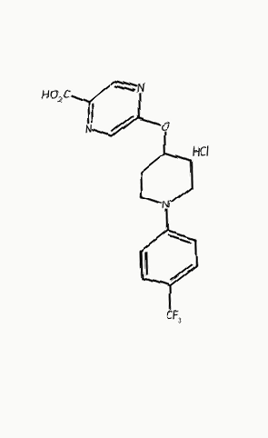 Cl.O=C(O)c1cnc(OC2CCN(c3ccc(C(F)(F)F)cc3)CC2)cn1